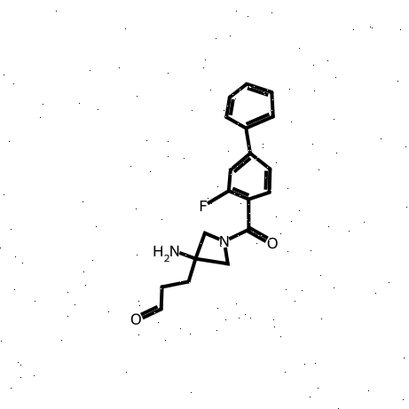 NC1(CCC=O)CN(C(=O)c2ccc(-c3ccccc3)cc2F)C1